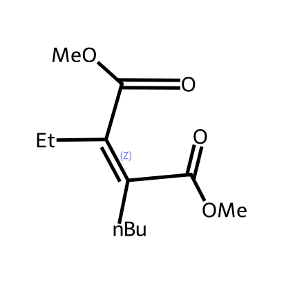 CCCC/C(C(=O)OC)=C(\CC)C(=O)OC